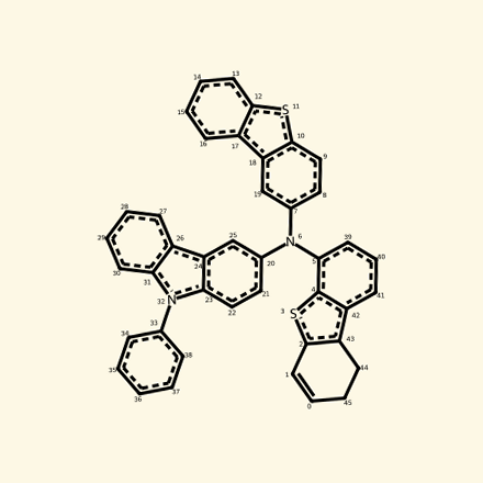 C1=Cc2sc3c(N(c4ccc5sc6ccccc6c5c4)c4ccc5c(c4)c4ccccc4n5-c4ccccc4)cccc3c2CC1